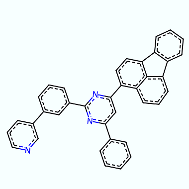 c1ccc(-c2cc(-c3ccc4c5c(cccc35)-c3ccccc3-4)nc(-c3cccc(-c4cccnc4)c3)n2)cc1